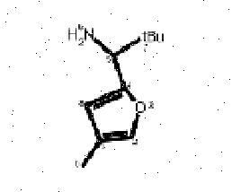 Cc1coc(C(N)C(C)(C)C)c1